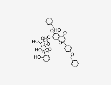 O=C(Nc1ccccc1O)C12OC(Oc3cc4oc(-c5ccc(OCc6ccccc6)cc5)cc(=O)c4c(O)c3OCc3ccccc3)C1(O)C(O)C2O